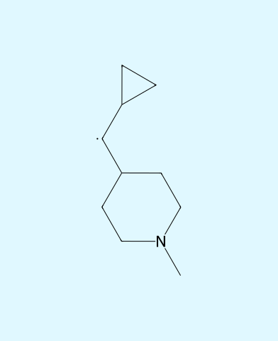 CN1CCC([CH]C2CC2)CC1